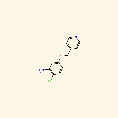 Nc1cc(OCc2ccncc2)ccc1Cl